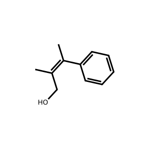 CC(CO)=C(C)c1ccccc1